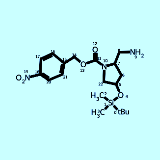 CC(C)(C)[Si](C)(C)OC1CC(CN)N(C(=O)OCc2ccc([N+](=O)[O-])cc2)C1